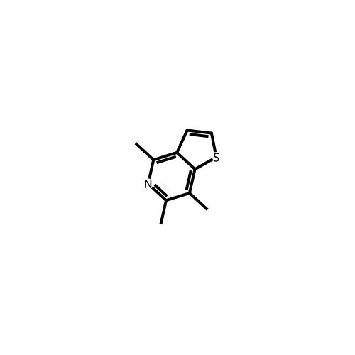 Cc1nc(C)c2ccsc2c1C